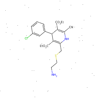 CCOC(=O)C1=C(C#N)NC(CSCCN)=C(C(=O)OCC)C1c1cccc(Cl)c1